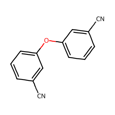 N#Cc1cccc(Oc2cccc(C#N)c2)c1